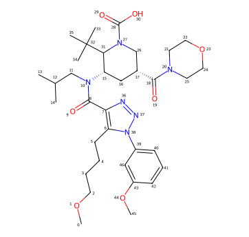 COCCCCc1c(C(=O)N(CC(C)C)[C@H]2C[C@@H](C(=O)N3CCOCC3)CN(C(=O)O)C2C(C)(C)C)nnn1-c1cccc(OC)c1